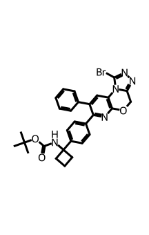 CC(C)(C)OC(=O)NC1(c2ccc(-c3nc4c(cc3-c3ccccc3)-n3c(Br)nnc3CO4)cc2)CCC1